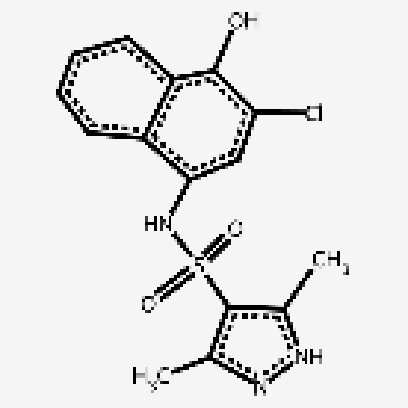 Cc1n[nH]c(C)c1S(=O)(=O)Nc1cc(Cl)c(O)c2ccccc12